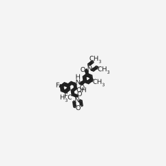 CCCN(CCC)C(=O)c1cc(C)cc(C(=O)NC(Cc2cc(F)cc(F)c2)[C@@H](O)C[C@@H](C)C(=O)N2CCOCC2)c1